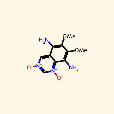 COc1c(OC)c(N)c2c(c[n+]([O-])c[n+]2[O-])c1N